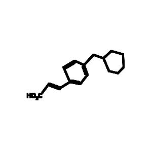 O=C(O)C=Cc1ccc(CC2CCCCC2)cc1